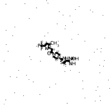 Cc1cc(C(F)(F)F)nn1CC(=O)N1CCN(c2nc(C(=N)NO)cs2)CC1